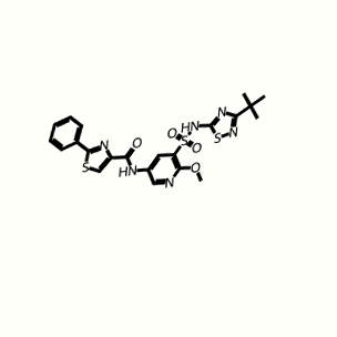 COc1ncc(NC(=O)c2csc(-c3ccccc3)n2)cc1S(=O)(=O)Nc1nc(C(C)(C)C)ns1